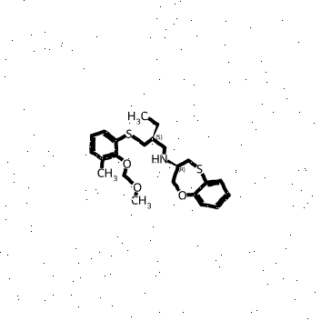 CC[C@@H](CN[C@@H]1COc2ccccc2SC1)CSc1cccc(C)c1OCOC